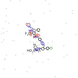 C[C@@H]1CN(C[C@]2(C)CCC(c3ccc(Cl)cc3)=C(CN3CCN(c4ccc(C(=O)NS(=O)(=O)c5ccc(NC(CCN6CCCOCC6)CSc6ccccc6)c(S(=O)(=O)C(F)(F)F)c5)cc4)CC3)C2)CCN1C(=O)O